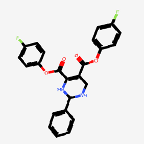 O=C(Oc1ccc(F)cc1)C1=C(C(=O)Oc2ccc(F)cc2)NC(c2ccccc2)NC1